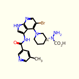 Cc1cncc(C(=O)Nc2c[nH]c3ncc(Br)c(N4CCC[C@@H](N(N)C(=O)O)C4)c23)c1